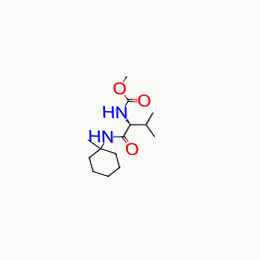 COC(=O)N[C@H](C(=O)NC1(C)CCCCC1)C(C)C